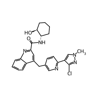 Cn1cc(-c2ccc(Cc3cc(C(=O)N[C@H]4CCCC[C@@H]4O)nc4ccccc34)cn2)c(Cl)n1